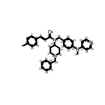 Cc1ccc(/C=C/C(=O)N(Cc2ccc(N(C)c3ccncc3)cc2)C2CCN(Cc3ccccc3)CC2)cc1